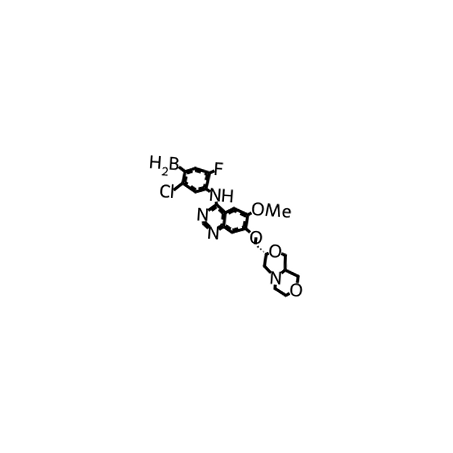 Bc1cc(F)c(Nc2ncnc3cc(OC[C@H]4CN5CCOCC5CO4)c(OC)cc23)cc1Cl